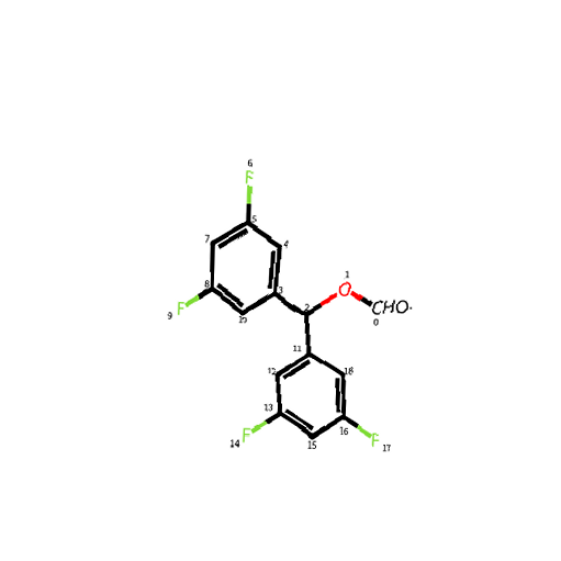 O=[C]OC(c1cc(F)cc(F)c1)c1cc(F)cc(F)c1